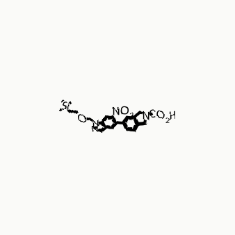 C[Si](C)(C)CCOCn1ncc2cc(-c3ccc4c(c3)CN(C(=O)O)C4)c([N+](=O)[O-])cc21